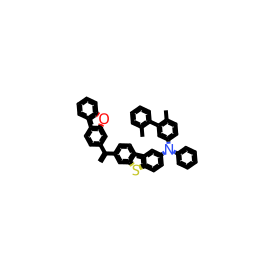 C=C(c1ccc2c(c1)oc1ccccc12)c1ccc2c(c1)sc1ccc(N(c3ccccc3)c3ccc(C)c(-c4ccccc4C)c3)cc12